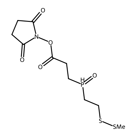 CSSCC[PH](=O)CCC(=O)ON1C(=O)CCC1=O